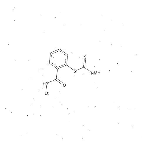 CCNC(=O)c1ccccc1SC(=S)NC